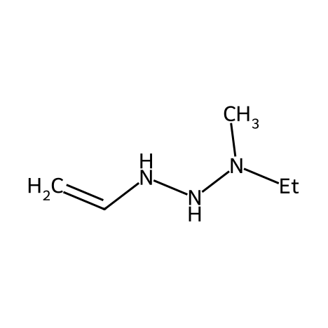 C=CNNN(C)CC